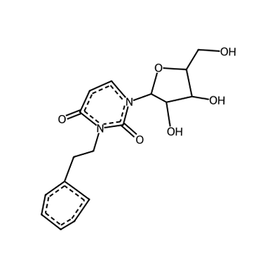 O=c1ccn(C2OC(CO)C(O)C2O)c(=O)n1CCc1ccccc1